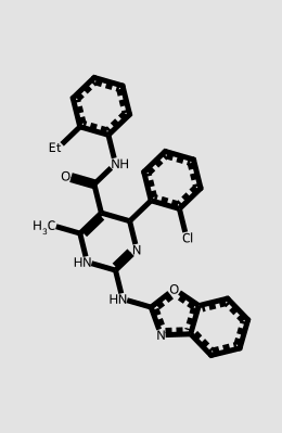 CCc1ccccc1NC(=O)C1=C(C)NC(Nc2nc3ccccc3o2)=NC1c1ccccc1Cl